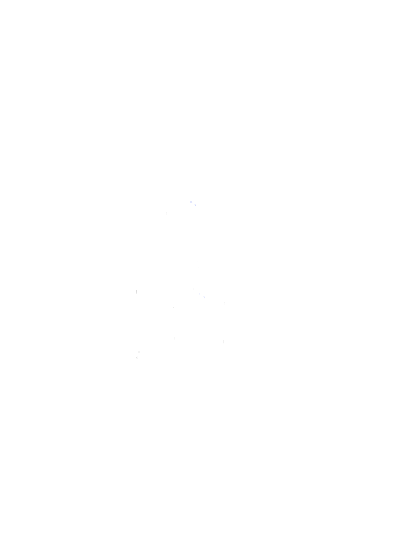 c1cc(N(C2CCCC2)C2CCCC2)ccn1